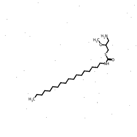 CCCCCCCCCCCCCCCCCCNC(=O)SCC(CN)OC